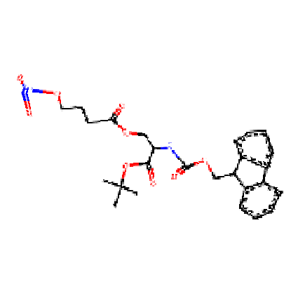 CC(C)(C)OC(=O)C(COC(=O)CCCO[N+](=O)[O-])NC(=O)OCC1c2ccccc2-c2ccccc21